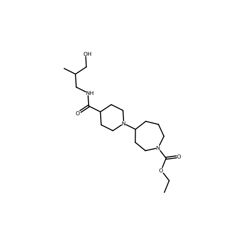 CCOC(=O)N1CCCC(N2CCC(C(=O)NCC(C)CO)CC2)CC1